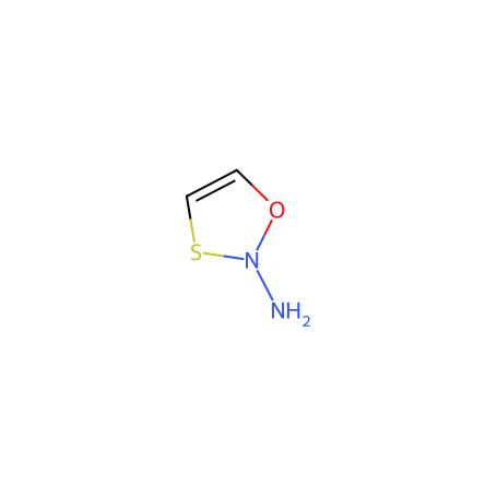 NN1OC=CS1